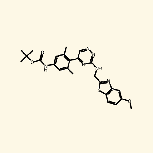 COc1ccc2sc(CNc3nncc(-c4c(C)cc(NC(=O)OC(C)(C)C)cc4C)n3)nc2c1